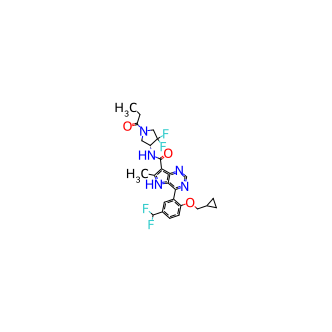 CCC(=O)N1C[C@@H](NC(=O)c2c(C)[nH]c3c(-c4cc(C(F)F)ccc4OCC4CC4)ncnc23)C(F)(F)C1